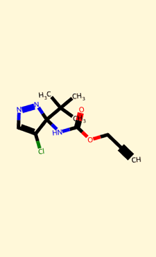 C#CCOC(=O)NC1(C(C)(C)C)N=NC=C1Cl